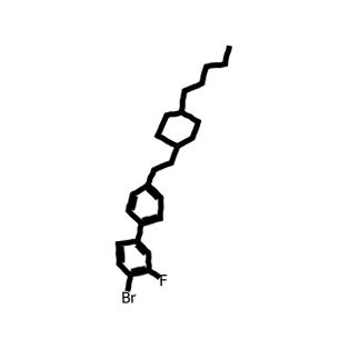 CCCCCC1CCC(CCc2ccc(-c3ccc(Br)c(F)c3)cc2)CC1